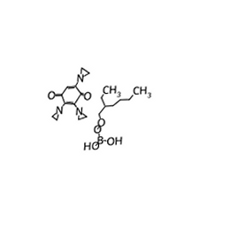 CCCCC(CC)COOB(O)O.O=C1C=C(N2CC2)C(=O)C(N2CC2)=C1N1CC1